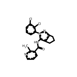 Cc1ncccc1C(=O)Nc1c2c(nn1-c1cccc(Cl)c1Cl)CCC2